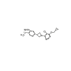 CC(=O)N[C@@H](C)c1ccc(C2CN(c3ncnc(OCC4CC4)c3Cl)C2)cc1